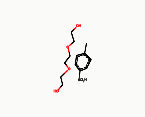 Cc1ccc(S(=O)(=O)O)cc1.OCCOCCOCCO